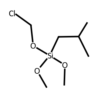 CO[Si](CC(C)C)(OC)OCCl